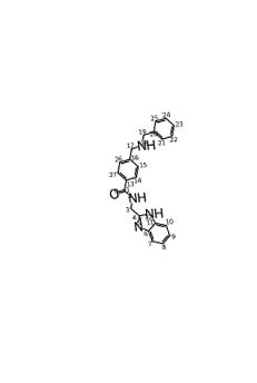 O=C(NCc1nc2ccccc2[nH]1)c1ccc(CNCc2ccccc2)cc1